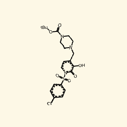 CC(C)(C)OC(=O)N1CCN(Cc2ccn(S(=O)(=O)c3ccc(Cl)cc3)c(=O)c2O)CC1